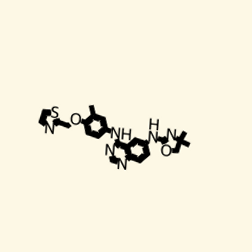 Cc1cc(Nc2ncnc3ccc(NC4=NC(C)(C)CO4)cc23)ccc1OCc1nccs1